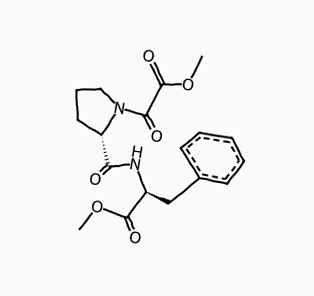 COC(=O)C(=O)N1CCC[C@H]1C(=O)N[C@@H](Cc1ccccc1)C(=O)OC